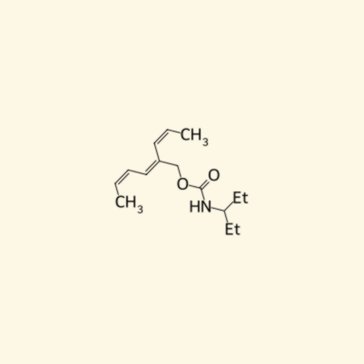 C\C=C/C=C(\C=C/C)COC(=O)NC(CC)CC